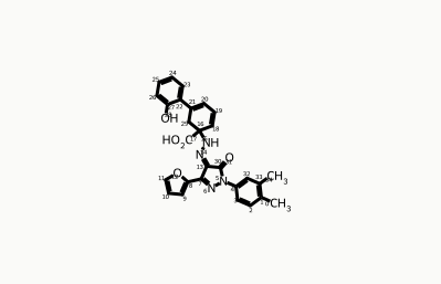 Cc1ccc(N2N=C(c3ccco3)/C(=N/NC3(C(=O)O)C=CC=C(c4ccccc4O)C3)C2=O)cc1C